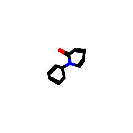 O=c1ccccn1C1C=CC=CC1